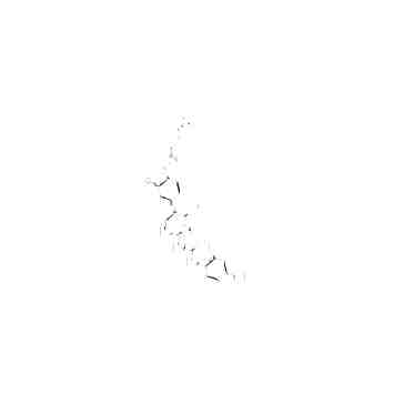 Cc1ccc(NC(=O)Nc2nc(=O)c(-c3ccc(CNCCCN)c(F)c3)c[nH]2)c(F)c1